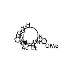 CC[C@@H]1[C@@H]2CN(C(=O)[C@H](C3(C)CCCCC3)NC(=O)O[C@@H]3C[C@H]3CCCCCc3nc4ccc(OC)cc4nc3O2)[C@@H]1C(C)=O